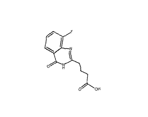 O=C(O)CCCc1nc2c(F)cccc2c(=O)[nH]1